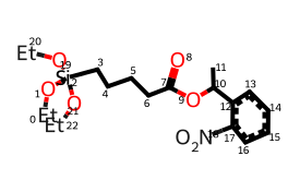 CCO[Si](CCCCC(=O)OC(C)c1ccccc1[N+](=O)[O-])(OCC)OCC